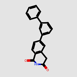 O=C1Cc2cc(-c3cccc(-c4ccccc4)c3)ccc2C(=O)N1